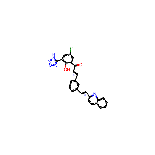 O=C(/C=C/c1cccc(/C=C/c2ccc3ccccc3n2)c1)c1cc(Cl)cc(-c2nnn[nH]2)c1O